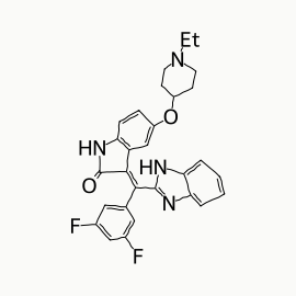 CCN1CCC(Oc2ccc3c(c2)C(=C(c2cc(F)cc(F)c2)c2nc4ccccc4[nH]2)C(=O)N3)CC1